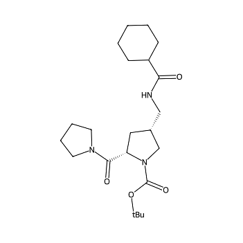 CC(C)(C)OC(=O)N1C[C@@H](CNC(=O)C2CCCCC2)C[C@H]1C(=O)N1CCCC1